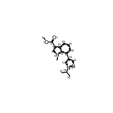 COC(=O)c1cn(C)c2c(-c3cnn(C(C)C)c3)cccc12